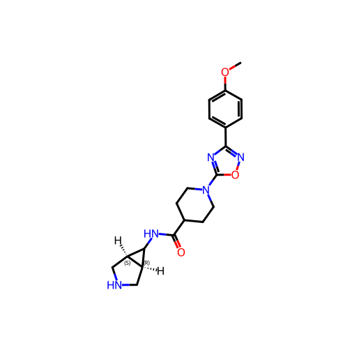 COc1ccc(-c2noc(N3CCC(C(=O)NC4[C@H]5CNC[C@@H]45)CC3)n2)cc1